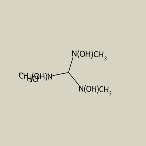 CN(O)C(N(C)O)N(C)O.Cl